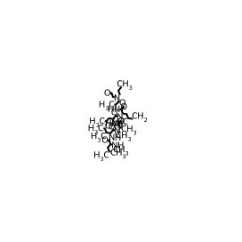 C=CC(C)CC(NC(=O)C(CC(C)C)NC(=O)C(C)N(C)C(=O)C(NC(=O)C(CC(C)C)NC)C(C)CC)C(=O)NC(C)C(=O)N(CC=O)CCCC